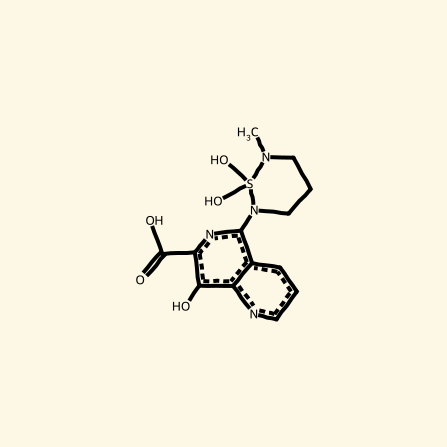 CN1CCCN(c2nc(C(=O)O)c(O)c3ncccc23)S1(O)O